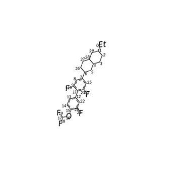 CCC1CCC2CC(c3cc(F)c(-c4ccc(OC(F)F)c(F)c4)c(F)c3)CCC2C1